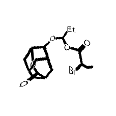 CCC(OC(=O)C(C)Br)OC1C2CC3CC(C2)C(=O)OC1C3